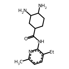 CCc1ccc(C)nc1NC(=O)C1CCC(N)C(N)C1